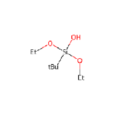 CCO[Si](O)(OCC)C(C)(C)C